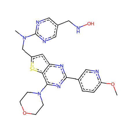 COc1ccc(-c2nc(N3CCOCC3)c3sc(CN(C)c4ncc(CNO)cn4)cc3n2)cn1